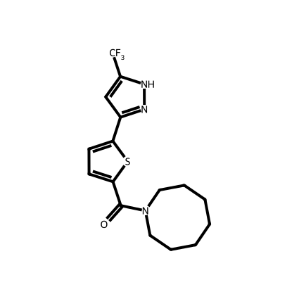 O=C(c1ccc(-c2cc(C(F)(F)F)[nH]n2)s1)N1CCCCCCC1